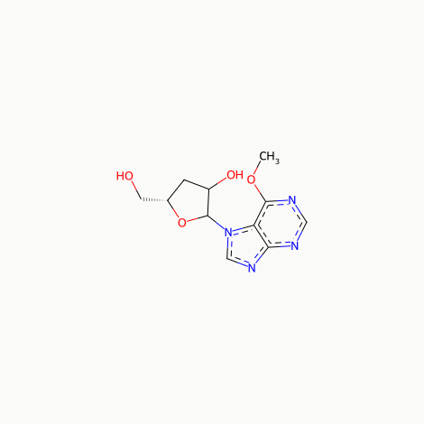 COc1ncnc2ncn(C3O[C@H](CO)CC3O)c12